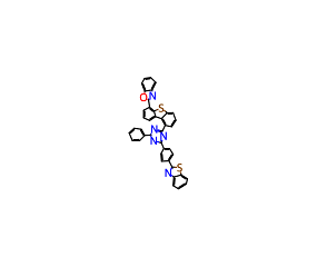 c1ccc(-c2nc(-c3ccc(-c4nc5ccccc5s4)cc3)nc(-c3cccc4sc5c(-c6nc7ccccc7o6)cccc5c34)n2)cc1